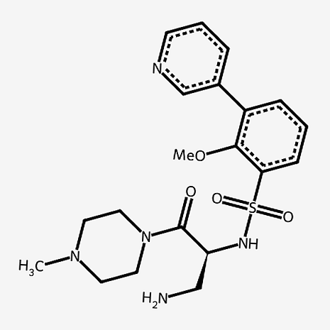 COc1c(-c2cccnc2)cccc1S(=O)(=O)N[C@@H](CN)C(=O)N1CCN(C)CC1